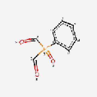 O=CP(=O)(C=O)c1ccccc1